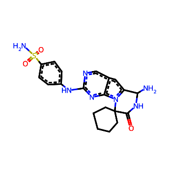 NC1NC(=O)C2(CCCCC2)n2c1cc1cnc(Nc3ccc(S(N)(=O)=O)cc3)nc12